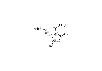 CCCCCC/C=C/[C@H]1[C@H](O)CC(=O)[C@@H]1CC(=O)OCC